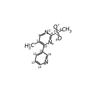 Cc1cnc(S(C)(=O)=O)nc1-c1cccnc1